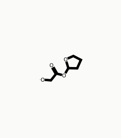 [O]CC(=O)OC1CCCO1